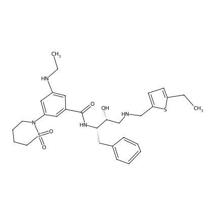 CCNc1cc(C(=O)N[C@@H](Cc2ccccc2)[C@H](O)CNCc2ccc(CC)s2)cc(N2CCCCS2(=O)=O)c1